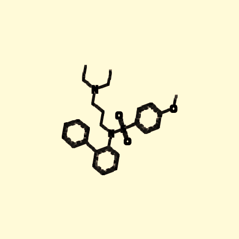 CCN(CC)CCCN(c1ccccc1-c1ccccc1)S(=O)(=O)c1ccc(OC)cc1